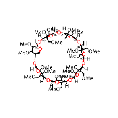 COCC1O[C@@H]2O[C@@H]3C(C)O[C@H](O[C@@H]4C(COC)O[C@@H](O[C@@H]5C(COC)O[C@H](O[C@@H]6C(COC)O[C@@H](O[C@@H]7C(COC)O[C@@H](OC8=CO[C@@H](O[C@H]1C(OC)C2OC)C(OC)C8OC)C(OC)C7OC)C(OC)C6OC)C(OC)C5OC)C(OC)C4OC)C(OC)C3OC